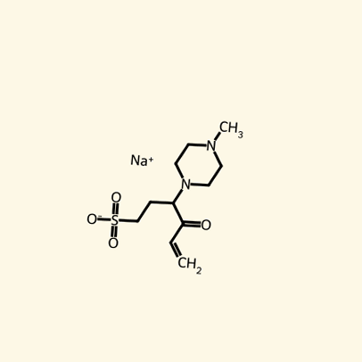 C=CC(=O)C(CCS(=O)(=O)[O-])N1CCN(C)CC1.[Na+]